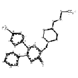 O=C(O)COC[C@H]1CC[C@@H](Cn2nc(-c3ccc(C(F)(F)F)cc3)c(-c3ccccc3)cc2=O)CC1